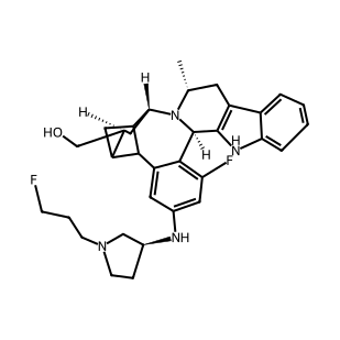 C[C@@H]1Cc2c([nH]c3ccccc23)[C@H]2c3c(F)cc(N[C@H]4CCN(CCCF)C4)cc3C3C4CC3[C@@H](C[C@@H]4CO)N21